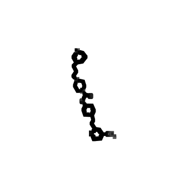 Cc1ccnc(CCc2ccc(OC(=O)N3CCN(CCCc4cccnc4)CC3)cc2)c1